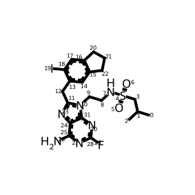 CC(C)CS(=O)(=O)NCCn1c(Cc2cc3c(cc2I)CCC3)nc2c(N)nc(F)nc21